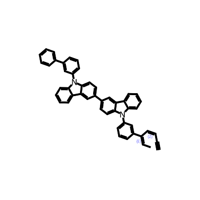 C#C/C=C\C(=C/C)c1cccc(-n2c3ccccc3c3cc(-c4ccc5c(c4)c4ccccc4n5-c4cccc(-c5ccccc5)c4)ccc32)c1